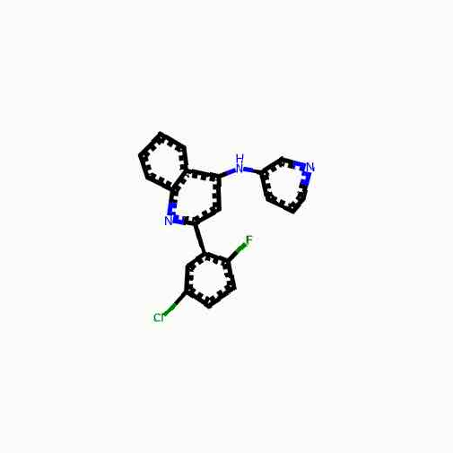 Fc1ccc(Cl)cc1-c1cc(Nc2cccnc2)c2ccccc2n1